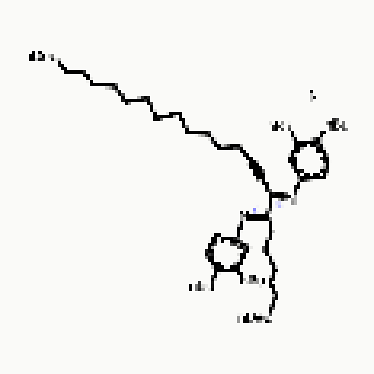 CCCCCCCCCCCCCCCCCCCCCCC#CC(=N\c1ccc(CCCC)c(CCCC)c1)/C(CCCCCCCCCCCCCCC)=N/c1ccc(CCCC)c(CCCC)c1.[Ni]